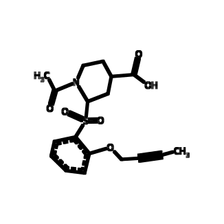 CC#CCOc1ccccc1S(=O)(=O)C1CC(C(=O)O)CCN1C(C)=O